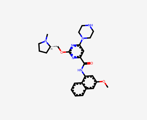 COc1cc(NC(=O)c2cc(N3CCNCC3)nc(OC[C@@H]3CCCN3C)n2)c2ccccc2c1